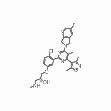 CNC[C@H](O)COc1ccc(Cl)c(-c2nc(-c3c(C)noc3C)c(C)c(N3Cc4cc(F)cnc4C3)n2)c1